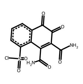 NC(=O)C1=C(C(N)=O)c2c(cccc2S(=O)(=O)Cl)C(=O)C1=O